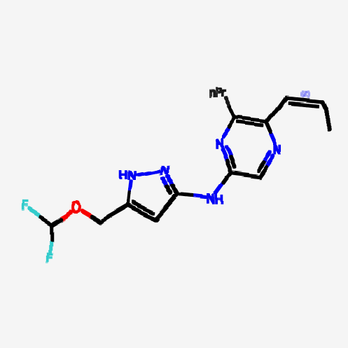 C/C=C\c1ncc(Nc2cc(COC(F)F)[nH]n2)nc1CCC